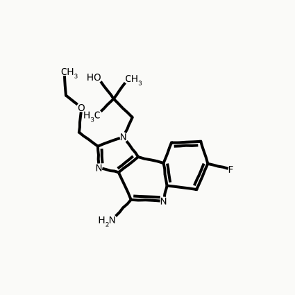 CCOCc1nc2c(N)nc3cc(F)ccc3c2n1CC(C)(C)O